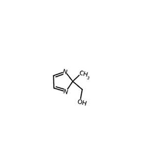 CC1(CO)N=CC=N1